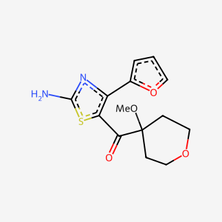 COC1(C(=O)c2sc(N)nc2-c2ccco2)CCOCC1